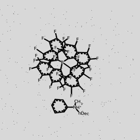 CCCCCCCCCC[NH+](C)c1ccccc1.Fc1c(F)c(F)c2c([B-](c3c(F)c(F)c(F)c4c(F)c(F)c(F)c(F)c34)(c3c(F)c(F)c(F)c4c(F)c(F)c(F)c(F)c34)c3c(F)c(F)c(F)c4c(F)c(F)c(F)c(F)c34)c(F)c(F)c(F)c2c1F